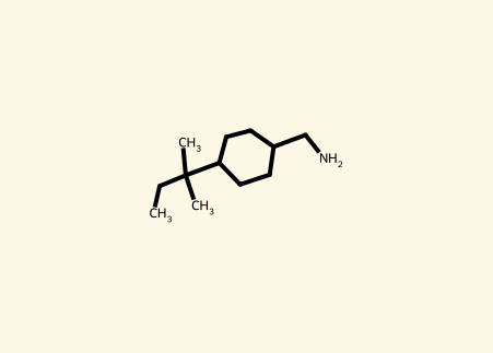 CCC(C)(C)C1CCC(CN)CC1